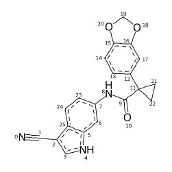 N#Cc1c[nH]c2cc(NC(=O)C3(c4ccc5c(c4)OCO5)CC3)ccc12